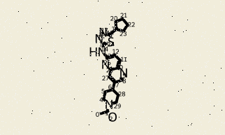 CC(=O)N1CCC(c2cnc3ccc(Nc4nnc(C5CCCC5)s4)nc3c2)CC1